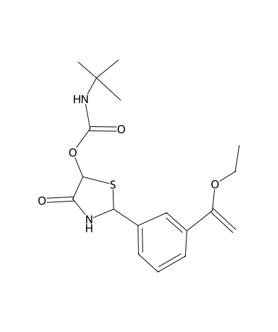 C=C(OCC)c1cccc(C2NC(=O)C(OC(=O)NC(C)(C)C)S2)c1